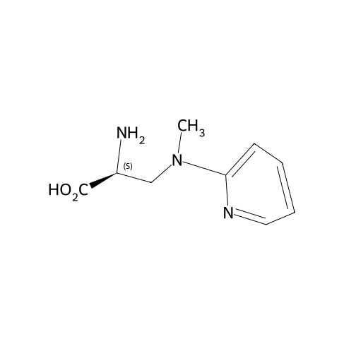 CN(C[C@H](N)C(=O)O)c1ccccn1